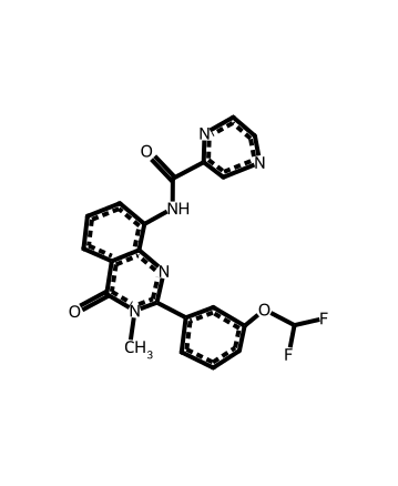 Cn1c(-c2cccc(OC(F)F)c2)nc2c(NC(=O)c3cnccn3)cccc2c1=O